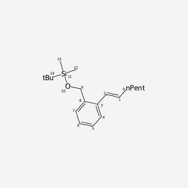 CCCCC/C=C/c1ccccc1CO[Si](C)(C)C(C)(C)C